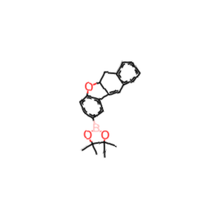 CC1(C)OB(c2ccc3c(c2)C2=Cc4ccccc4CC2O3)OC1(C)C